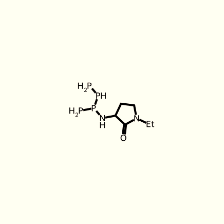 CCN1CCC(NP(P)PP)C1=O